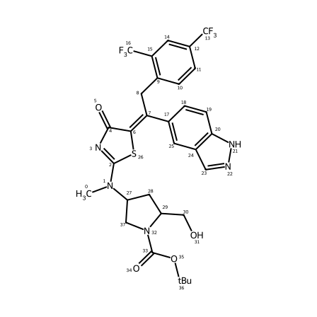 CN(C1=NC(=O)C(=C(Cc2ccc(C(F)(F)F)cc2C(F)(F)F)c2ccc3[nH]ncc3c2)S1)C1CC(CO)N(C(=O)OC(C)(C)C)C1